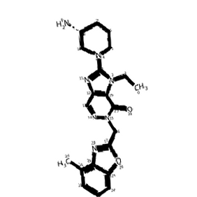 CCn1c(N2CCC[C@@H](N)C2)nc2cnn(Cc3nc4c(C)cccc4o3)c(=O)c21